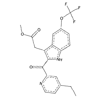 CCc1ccnc(C(=O)c2[nH]c3ccc(OC(F)(F)F)cc3c2CC(=O)OC)c1